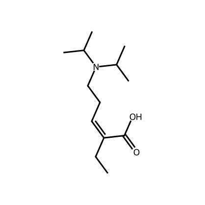 CCC(=CCCN(C(C)C)C(C)C)C(=O)O